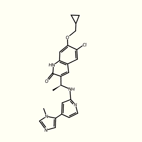 C[C@H](Nc1cc(-c2cncn2C)ccn1)c1cc2cc(Cl)c(OCC3CC3)cc2[nH]c1=O